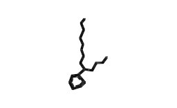 CCCCCCCCC(CCCC)c1ccccc1